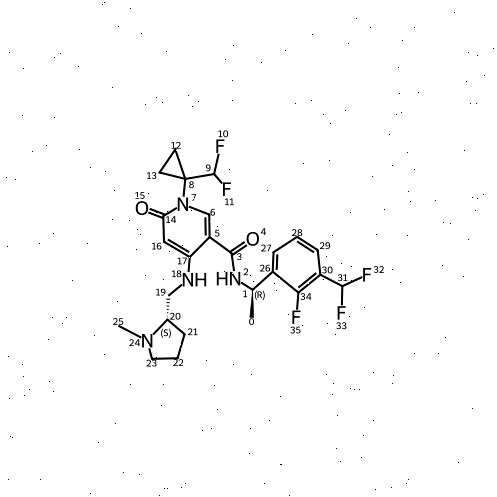 C[C@@H](NC(=O)c1cn(C2(C(F)F)CC2)c(=O)cc1NC[C@@H]1CCCN1C)c1cccc(C(F)F)c1F